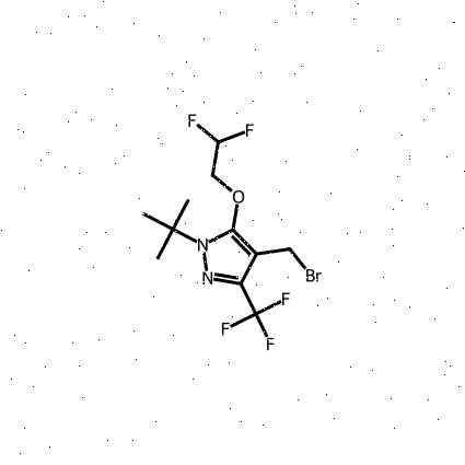 CC(C)(C)n1nc(C(F)(F)F)c(CBr)c1OCC(F)F